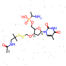 CCC(=O)NCC(C)(C)SSCO[C@@H]1C[C@H](n2cc(C)c(=O)[nH]c2=O)OC1COP(=O)(O)C(C)N